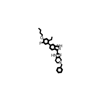 CCCCOc1cc(CC)c(-c2ccc3c(-c4nc5c([nH]4)CCN(Cc4ccccc4)C5)n[nH]c3c2)cc1F